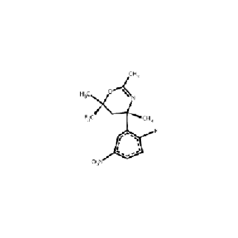 CC1=N[C@](C)(c2cc([N+](=O)[O-])ccc2F)C[C@@](C)(C(F)(F)F)O1